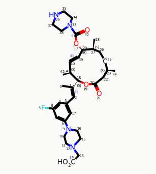 C/C(=C\c1cc(F)cc(N2CCN(CC(=O)O)CC2)c1)[C@H]1OC(=O)C[C@H](C)CC[C@H](C)[C@@H](OC(=O)N2CCNCC2)/C=C/[C@@H]1C